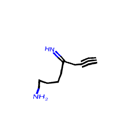 C#CC(=N)CCN